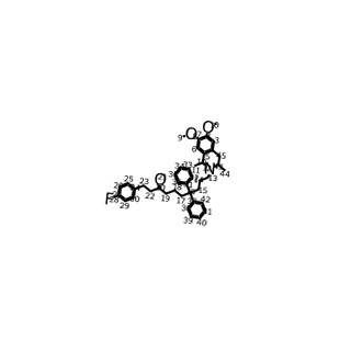 COc1cc2c(cc1OC)C(C)N(CCCC(CCCC(=O)CCc1ccc(F)cc1)(c1ccccc1)c1ccccc1)C(C)C2